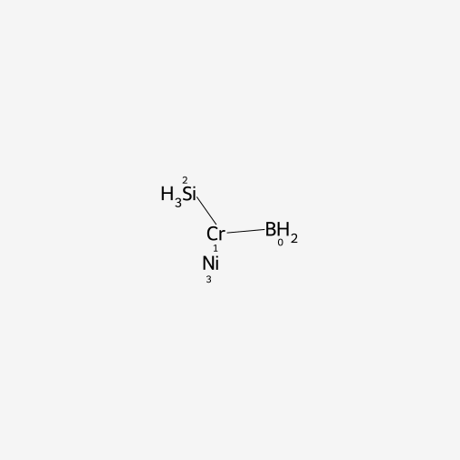 [BH2][Cr][SiH3].[Ni]